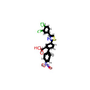 O=C(O)c1cc(-c2nc(-c3ccc(Cl)c(Cl)c3)cs2)ccc1-c1ccc([N+](=O)[O-])cc1